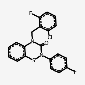 O=C1N(Cc2c(F)cccc2Cl)c2ccccc2SN1c1ccc(F)cc1